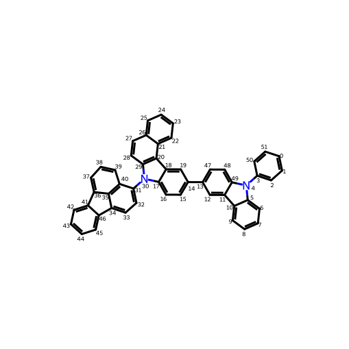 c1ccc(-n2c3ccccc3c3cc(-c4ccc5c(c4)c4c6ccccc6ccc4n5-c4ccc5c6c(cccc46)-c4ccccc4-5)ccc32)cc1